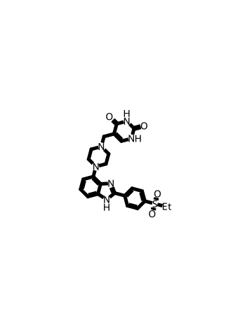 CCS(=O)(=O)c1ccc(-c2nc3c(N4CCN(Cc5c[nH]c(=O)[nH]c5=O)CC4)cccc3[nH]2)cc1